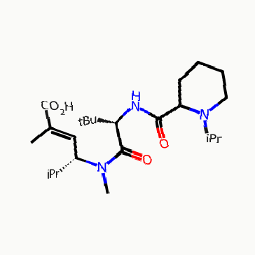 C/C(=C\[C@@H](C(C)C)N(C)C(=O)[C@H](NC(=O)C1CCCCN1C(C)C)C(C)(C)C)C(=O)O